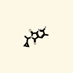 Cc1cc2c(nc1F)C(=O)N(C(C)C1CC1)C2=O